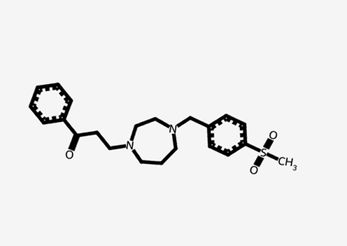 CS(=O)(=O)c1ccc(CN2CCCN(CCC(=O)c3ccccc3)CC2)cc1